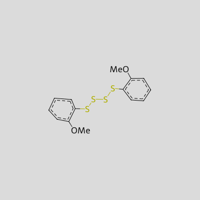 COc1ccccc1SSSSc1ccccc1OC